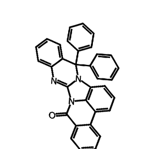 O=c1c2ccccc2c2cccc3c2n1c1n3C(c2ccccc2)(c2ccccc2)c2ccccc2N=1